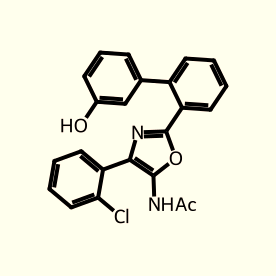 CC(=O)Nc1oc(-c2ccccc2-c2cccc(O)c2)nc1-c1ccccc1Cl